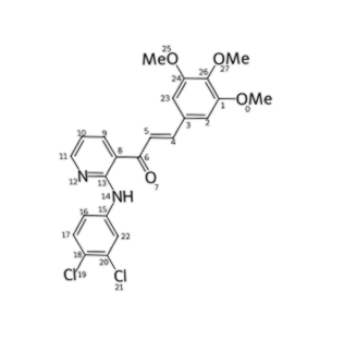 COc1cc(C=CC(=O)c2cccnc2Nc2ccc(Cl)c(Cl)c2)cc(OC)c1OC